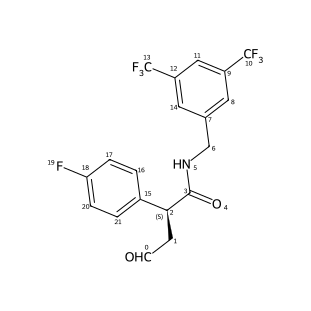 O=CC[C@H](C(=O)NCc1cc(C(F)(F)F)cc(C(F)(F)F)c1)c1ccc(F)cc1